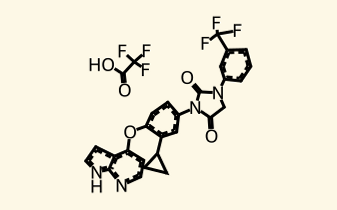 O=C(O)C(F)(F)F.O=C1CN(c2cccc(C(F)(F)F)c2)C(=O)N1c1ccc(Oc2ccnc3[nH]ccc23)c(C2CC2)c1